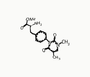 COC(=O)[C@@H](N)Cc1ccc(-n2c(=O)c(C)cn(C)c2=O)cc1